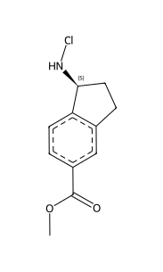 COC(=O)c1ccc2c(c1)CC[C@@H]2NCl